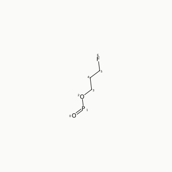 O=POCCCF